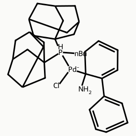 CCCC[PH]([Pd-]([Cl])[C]1(N)CC=CC=C1c1ccccc1)(C12CC3CC(CC(C3)C1)C2)C12CC3CC(CC(C3)C1)C2